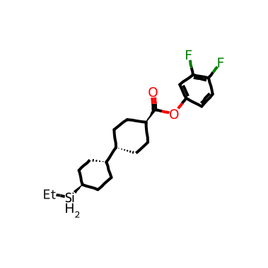 CC[SiH2][C@H]1CC[C@H]([C@H]2CC[C@H](C(=O)Oc3ccc(F)c(F)c3)CC2)CC1